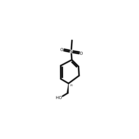 CS(=O)(=O)C1=CC[C@@H](CO)C=C1